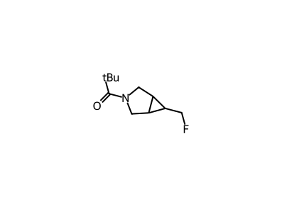 CC(C)(C)C(=O)N1CC2C(CF)C2C1